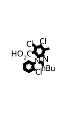 CCCCc1nc2c(C)c(Cl)c(Cl)c(C(=O)O)c2n1-c1ccccc1Cl